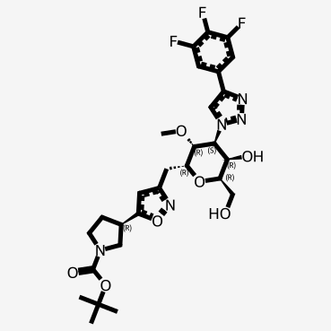 CO[C@@H]1[C@@H](n2cc(-c3cc(F)c(F)c(F)c3)nn2)[C@@H](O)[C@@H](CO)O[C@@H]1Cc1cc([C@@H]2CCN(C(=O)OC(C)(C)C)C2)on1